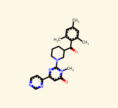 Cc1cc(C)c(C(=O)C2CCCN(c3nc(-c4ccncn4)cc(=O)n3C)C2)c(C)c1